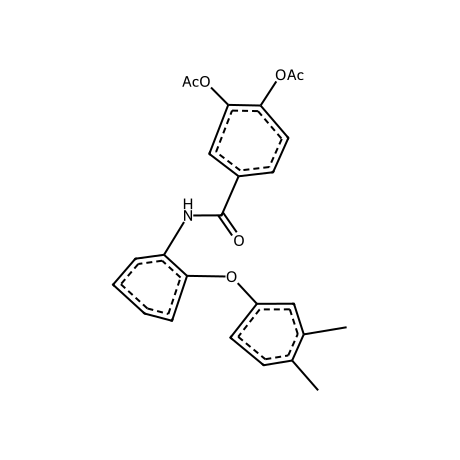 CC(=O)Oc1ccc(C(=O)Nc2ccccc2Oc2ccc(C)c(C)c2)cc1OC(C)=O